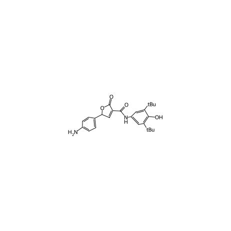 CC(C)(C)c1cc(NC(=O)C2=CC(c3ccc(N)cc3)OC2=O)cc(C(C)(C)C)c1O